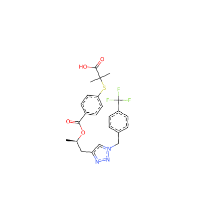 C[C@H](Cc1cn(Cc2ccc(C(F)(F)F)cc2)nn1)OC(=O)c1ccc(SC(C)(C)C(=O)O)cc1